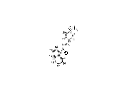 Cc1ccc(C=CC(=O)c2cccc3ccccc23)cc1